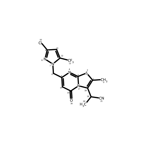 Cc1sc2nc(Cn3nc(Cl)cc3C(F)(F)F)cc(=O)n2c1C(C)C#N